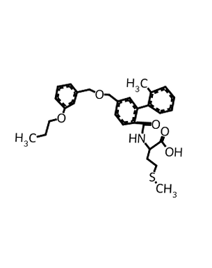 CCCOc1cccc(COCc2ccc(C(=O)NC(CCSC)C(=O)O)c(-c3ccccc3C)c2)c1